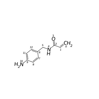 C=CC(=O)NCc1ccc(N)cc1